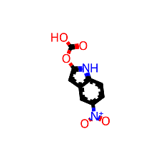 O=C(O)Oc1cc2cc([N+](=O)[O-])ccc2[nH]1